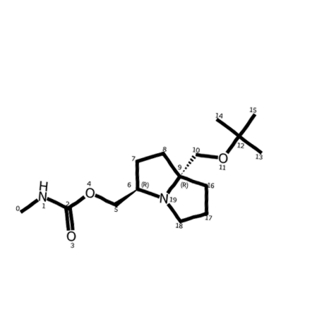 CNC(=O)OC[C@H]1CC[C@@]2(COC(C)(C)C)CCCN12